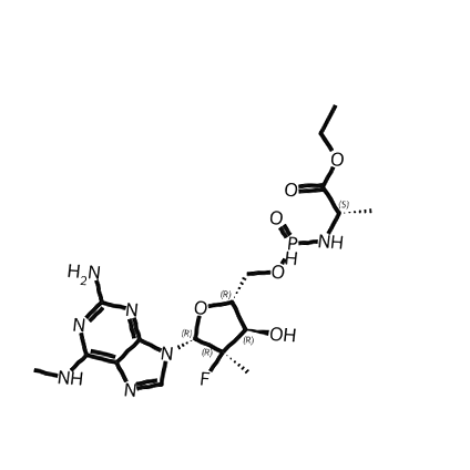 CCOC(=O)[C@H](C)N[PH](=O)OC[C@H]1O[C@@H](n2cnc3c(NC)nc(N)nc32)[C@](C)(F)[C@@H]1O